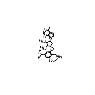 Cc1ncnc2c1ccn2C1CC(Oc2cc(C(F)F)cc3c2CNCCO3)C(O)C1O